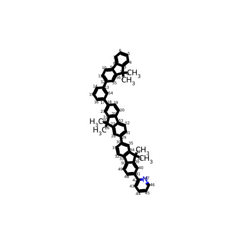 CC1(C)c2ccccc2-c2ccc(-c3cccc(-c4ccc5c(c4)C(C)(C)c4cc(-c6ccc7c(c6)C(C)(C)c6cc(-c8ccccn8)ccc6-7)ccc4-5)c3)cc21